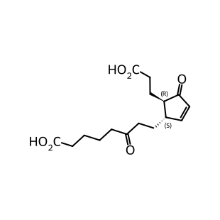 O=C(O)CCCCC(=O)CC[C@H]1C=CC(=O)[C@@H]1CCC(=O)O